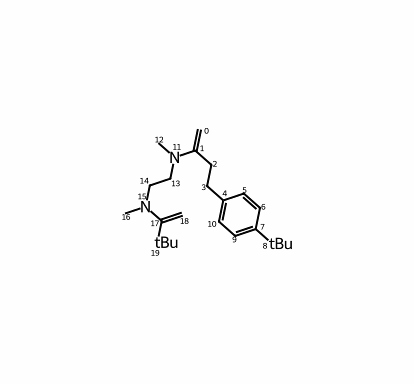 C=C(CCc1ccc(C(C)(C)C)cc1)N(C)CCN(C)C(=C)C(C)(C)C